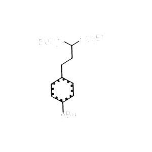 CCCCc1ccc(CCC(C(=O)OCC)C(=O)OCC)cc1